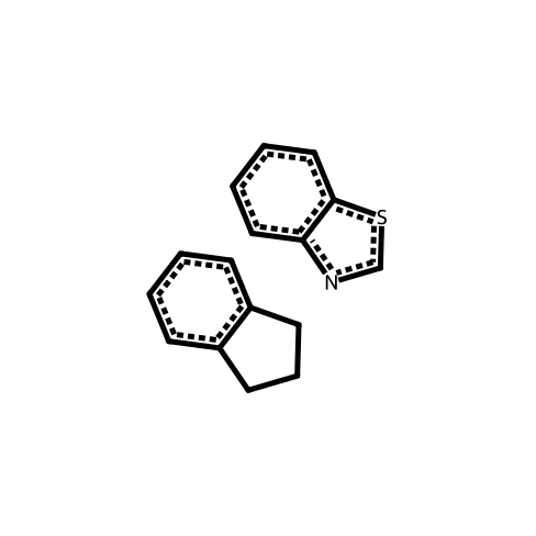 c1ccc2c(c1)CCC2.c1ccc2scnc2c1